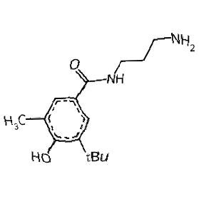 Cc1cc(C(=O)NCCCN)cc(C(C)(C)C)c1O